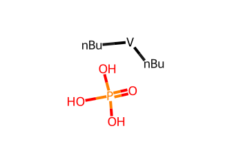 CCC[CH2][V][CH2]CCC.O=P(O)(O)O